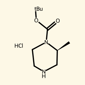 C[C@H]1CNCCN1C(=O)OC(C)(C)C.Cl